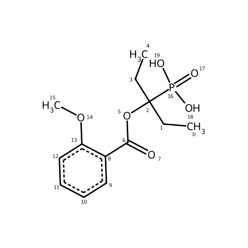 CCC(CC)(OC(=O)c1ccccc1OC)P(=O)(O)O